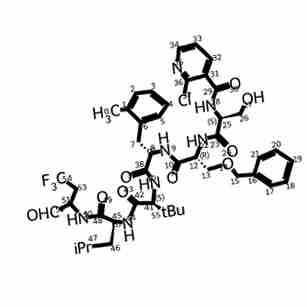 Cc1ccccc1C[C@H](NC(=O)[C@@H](COCc1ccccc1)NC(=O)[C@H](CO)NC(=O)c1cccnc1Cl)C(=O)N[C@H](C(=O)N[C@@H](CC(C)C)C(=O)NC(C=O)CC(F)(F)F)C(C)(C)C